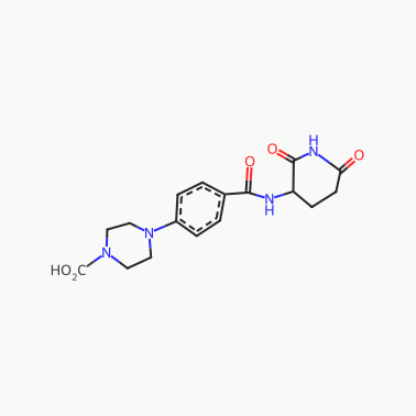 O=C1CCC(NC(=O)c2ccc(N3CCN(C(=O)O)CC3)cc2)C(=O)N1